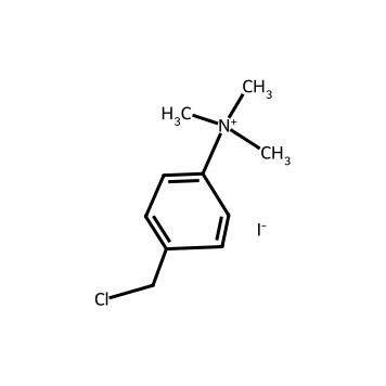 C[N+](C)(C)c1ccc(CCl)cc1.[I-]